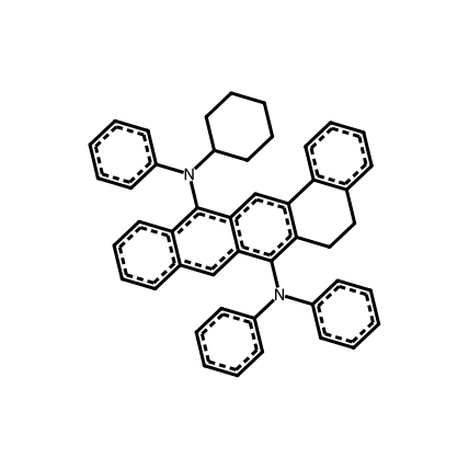 c1ccc(N(c2ccccc2)c2c3c(cc4c(N(c5ccccc5)C5CCCCC5)c5ccccc5cc24)-c2ccccc2CC3)cc1